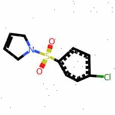 O=S(=O)(c1ccc(Cl)cc1)N1CC=CC1